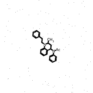 CC(=O)N(c1ccccc1)C1CC(C)N(CCc2ccccc2)c2ccccc21